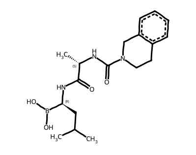 CC(C)C[C@H](NC(=O)[C@H](C)NC(=O)N1CCc2ccccc2C1)B(O)O